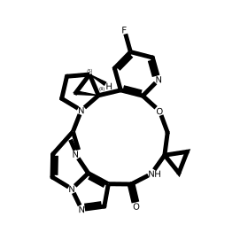 O=C1NC2(CC2)COc2ncc(F)cc2[C@@]23C[C@@H]2CCN3c2ccn3ncc1c3n2